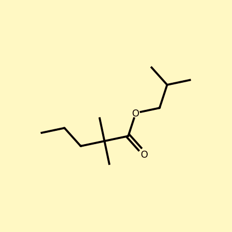 CCCC(C)(C)C(=O)OCC(C)C